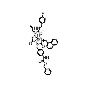 C=CCN(C(=O)NCc1ccc(F)cc1)N1CC(=O)N2[C@@H](Cc3ccc(NC(=O)OCc4ccccc4)cc3)C(=O)N(Cc3cccc4ccccc34)C[C@@H]21